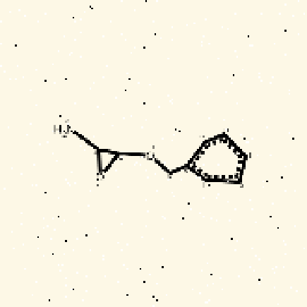 NC1OC1OCc1ccccc1